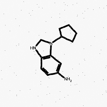 Nc1ccc2c(c1)N(C1CCCC1)CN2